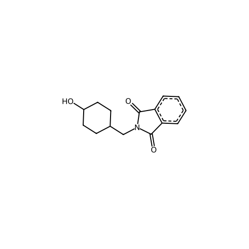 O=C1c2ccccc2C(=O)N1CC1CCC(O)CC1